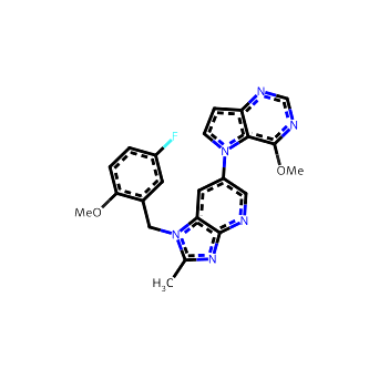 COc1ccc(F)cc1Cn1c(C)nc2ncc(-n3ccc4ncnc(OC)c43)cc21